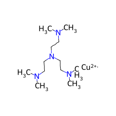 CN(C)CCN(CCN(C)C)CCN(C)C.[Cu+2]